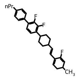 CCCc1ccc(-c2ccc(C3CCC(/C=C/C4=CCC(C)C=C4F)CC3)c(F)c2F)cc1